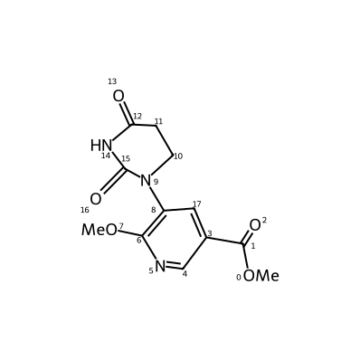 COC(=O)c1cnc(OC)c(N2CCC(=O)NC2=O)c1